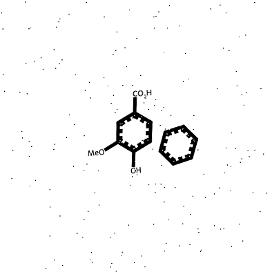 COc1cc(C(=O)O)ccc1O.c1ccccc1